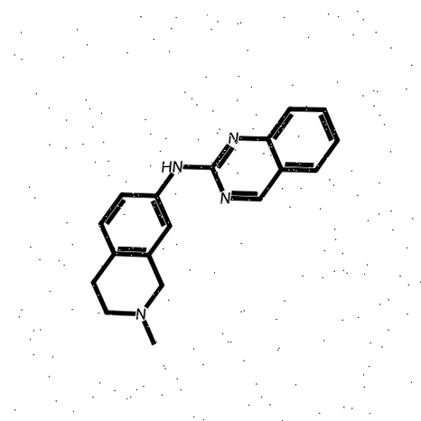 CN1CCc2ccc(Nc3ncc4ccccc4n3)cc2C1